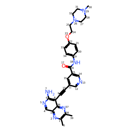 Cc1nc2cnc(N)c(C#Cc3cncc(C(=O)Nc4ccc(OCCN5CCN(C)CC5)cc4)c3)c2nc1C